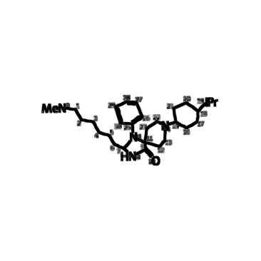 CNCCCCCCC1NC(=O)C2(CCN(C3CCC(C(C)C)CC3)CC2)N1c1ccccc1